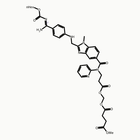 CCCCCCOC(=O)/N=C(\N)c1ccc(NCc2nc3cc(C(=O)N(CCC(=O)OCOC(=O)CCC(=O)OC)c4ccccn4)ccc3n2C)cc1